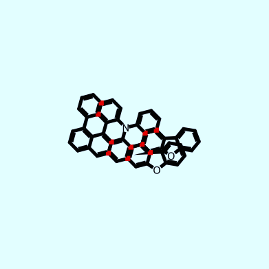 c1ccc(-c2cccc3cccc(-c4ccccc4N(c4ccccc4-c4ccc5c(c4)oc4ccccc45)c4ccccc4-c4cccc5oc6ccccc6c45)c23)cc1